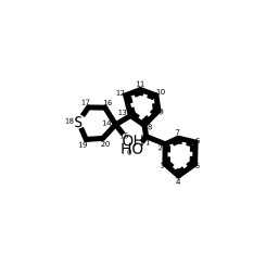 OC(c1ccccc1)c1ccccc1C1(O)CCSCC1